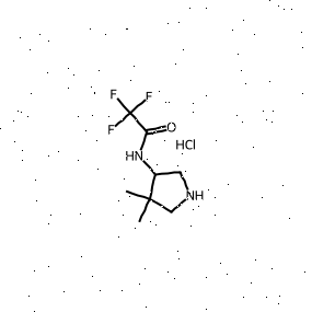 CC1(C)CNCC1NC(=O)C(F)(F)F.Cl